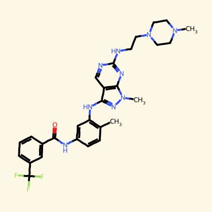 Cc1ccc(NC(=O)c2cccc(C(F)(F)F)c2)cc1Nc1nn(C)c2nc(NCCN3CCN(C)CC3)ncc12